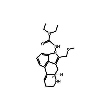 CCN(CC)C(=O)Nn1c(CSC)c2c3c(cccc31)C1=CCCN[C@@H]1C2